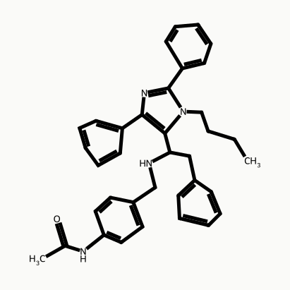 CCCCn1c(-c2ccccc2)nc(-c2ccccc2)c1C(Cc1ccccc1)NCc1ccc(NC(C)=O)cc1